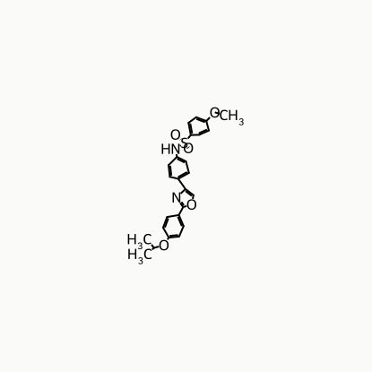 COc1ccc(S(=O)(=O)Nc2ccc(-c3coc(-c4ccc(OC(C)C)cc4)n3)cc2)cc1